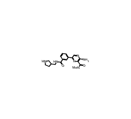 CNC(=O)c1nc(-c2cccc(C(=O)NCC3CCNC3)c2)cnc1N